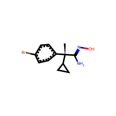 C[C@](/C(N)=N/O)(c1ccc(Br)cc1)C1CC1